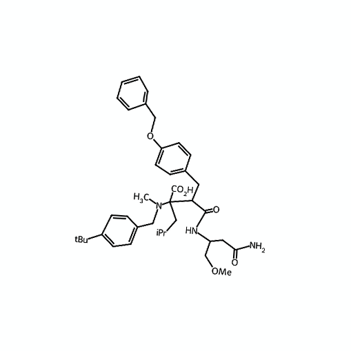 COCC(CC(N)=O)NC(=O)C(Cc1ccc(OCc2ccccc2)cc1)C(CC(C)C)(C(=O)O)N(C)Cc1ccc(C(C)(C)C)cc1